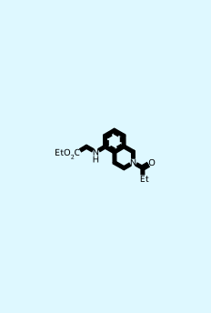 CCOC(=O)CNc1cccc2c1CCN(C(=O)CC)C2